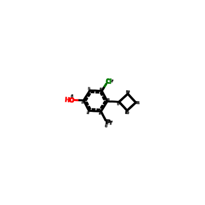 CC(C)c1cc(O)cc(Cl)c1C1CCC1